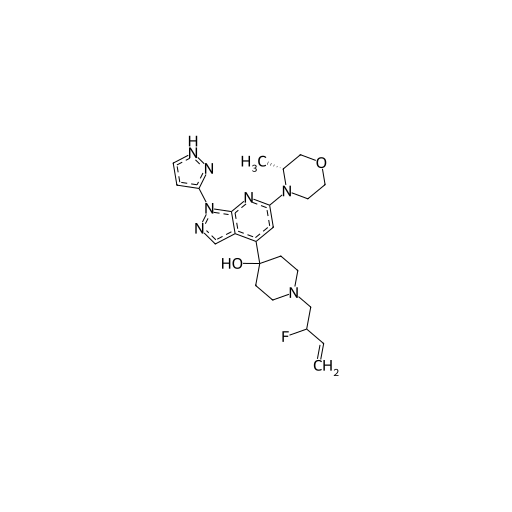 C=CC(F)CN1CCC(O)(c2cc(N3CCOC[C@H]3C)nc3c2cnn3-c2cc[nH]n2)CC1